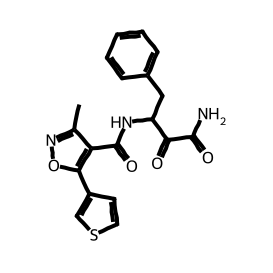 Cc1noc(-c2ccsc2)c1C(=O)NC(Cc1ccccc1)C(=O)C(N)=O